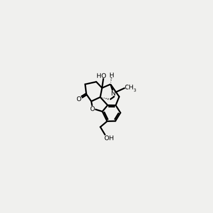 CN1CC[C@]23c4c5ccc(CO)c4OC2C(=O)CCC3(O)[C@H]1C5